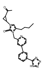 CCCCc1cn(C2CC2C(C)=O)c(=O)n1Cc1cc(-c2cccc(-c3nnn[nH]3)c2)ccn1